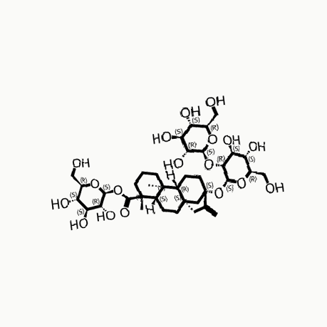 C=C1C[C@]23CC[C@H]4[C@@](C)(CCC[C@@]4(C)C(=O)O[C@@H]4O[C@H](CO)[C@@H](O)[C@H](O)[C@H]4O)[C@@H]2CC[C@]1(O[C@@H]1O[C@H](CO)[C@@H](O)[C@H](O)[C@H]1O[C@@H]1O[C@H](CO)[C@@H](O)[C@H](O)[C@H]1O)C3